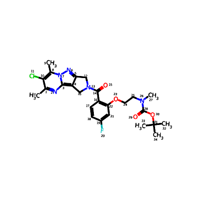 Cc1nc2c3c(nn2c(C)c1Cl)CN(C(=O)c1ccc(F)cc1OCCN(C)C(=O)OC(C)(C)C)C3